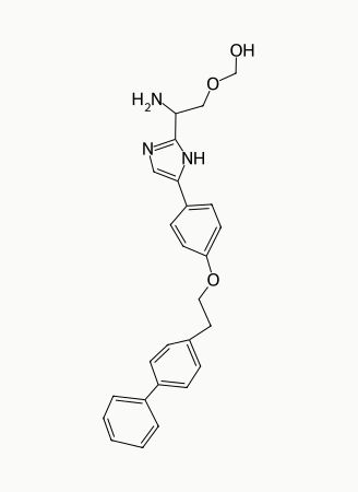 NC(COCO)c1ncc(-c2ccc(OCCc3ccc(-c4ccccc4)cc3)cc2)[nH]1